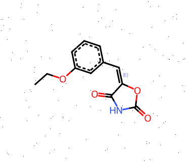 CCOc1cccc(/C=C2/OC(=O)NC2=O)c1